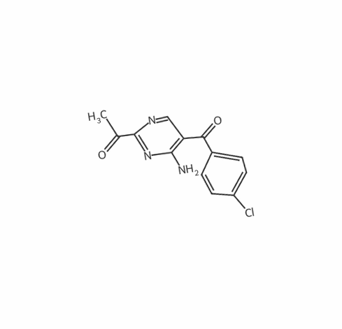 CC(=O)c1ncc(C(=O)c2ccc(Cl)cc2)c(N)n1